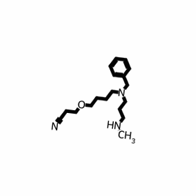 CNCCCN(CCCCOCCC#N)Cc1ccccc1